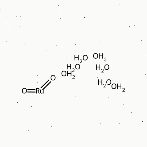 O.O.O.O.O.O.O.[O]=[Ru]=[O]